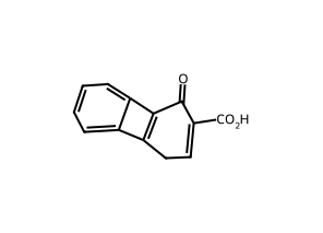 O=C(O)C1=CCC2=C(C1=O)c1ccccc12